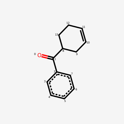 O=C(c1ccccc1)C1CC=CCC1